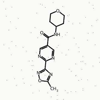 Cc1nc(-c2ncc(C(=O)NC3CCOCC3)cn2)no1